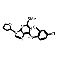 CSc1nc(Nc2ccc(Cl)cc2Cl)c2ncn(C3CCCO3)c2n1